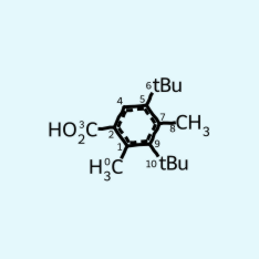 Cc1c(C(=O)O)cc(C(C)(C)C)c(C)c1C(C)(C)C